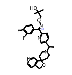 CC(c1ccc(/C(=N/OCC(C)(C)O)c2ccc(F)c(F)c2)nc1)N1CCC2(CC1)OCc1ccncc12